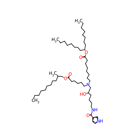 CCCCCCCCCC(C)COC(=O)CCCCCN(CCCCCCCC(=O)OC(CCCCCCCC)CCCCCCCC)CC(O)CCCCNC(=O)c1cc[nH]c1